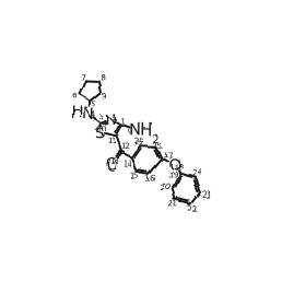 Nc1nc(NC2CCCC2)sc1C(=O)c1ccc(Oc2ccccc2)cc1